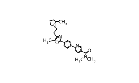 Cc1oc(-c2ccc(-c3ccc(C(=O)N(C)C)cn3)cc2)nc1CCN1CCCC1C